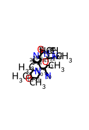 COC1(C)CCN(/C(=C(\C#N)C(C)=O)c2cc(C(=O)N(C)CCN(C)C)ncc2C)CC1